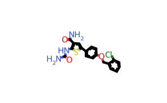 NC(=O)Nc1sc(-c2ccc(OCc3ccccc3Cl)cc2)cc1C(N)=O